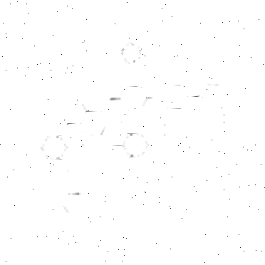 C=CC(=O)NCc1cccc(C[C@H](NC(=O)Cc2ccccc2CNC(=O)[C@H](Cc2ccco2)NC(=O)[C@H]2CC[C@@H](NC=O)CC2)C(N)=O)c1